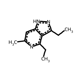 CCc1n[nH]c2cc(C)nc(CC)c12